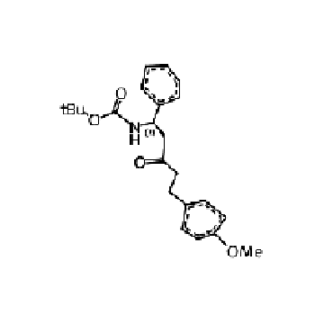 COc1ccc(CCC(=O)C[C@@H](NC(=O)OC(C)(C)C)c2ccccc2)cc1